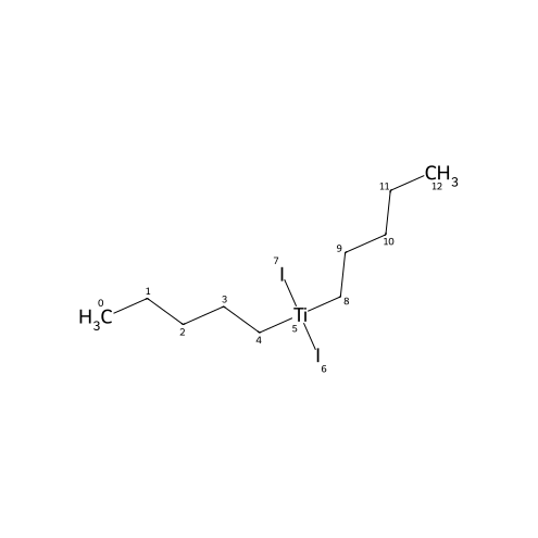 CCCC[CH2][Ti]([I])([I])[CH2]CCCC